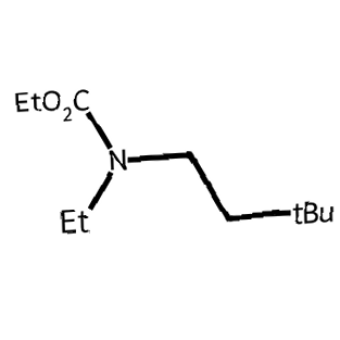 CCOC(=O)N(CC)CCC(C)(C)C